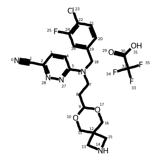 N#Cc1ccc(N(CCC2OCC3(CNC3)CO2)Cc2ccc(Cl)c(F)c2)nn1.O=C(O)C(F)(F)F